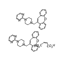 C1=C(CN2CCN(c3ncccn3)CC2)c2ccccc2Oc2ccccc21.C1=C(CN2CCN(c3ncccn3)CC2)c2ccccc2Oc2ccccc21.O=C(O)/C=C\C(=O)O